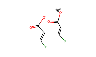 O=C([O-])C=CF.O=C([O-])C=CF.[Hg+2]